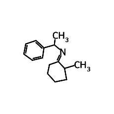 CC1CCCCC1=NC(C)c1ccccc1